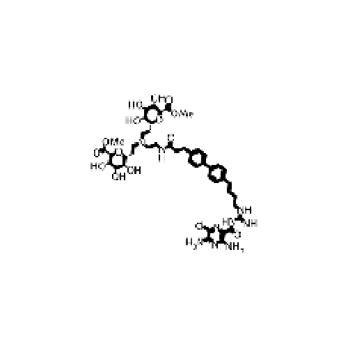 COC(=O)[C@H]1O[C@H](CCN(CCNC(=O)CCc2ccc(-c3ccc(CCCCNC(=N)NC(=O)c4nc(Cl)c(N)nc4N)cc3)cc2)CC[C@H]2O[C@H](C(=O)OC)[C@@H](O)[C@H](O)[C@H]2O)[C@H](O)[C@@H](O)[C@@H]1O